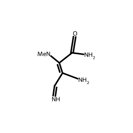 CN/C(C(N)=O)=C(/N)C=N